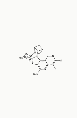 CSc1nc2c(F)c(Cl)ncc2c2c1cc(C)n2C1C2CC1N(C(=O)OC(C)(C)C)C2